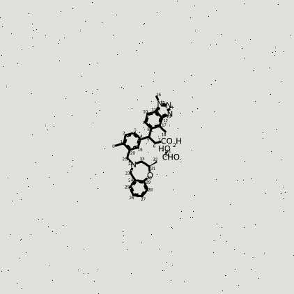 Cc1ccc(C(CC(=O)O)c2ccc3c(nnn3C)c2C)cc1CN1Cc2ccccc2O[C@H](C)C1.O=CO